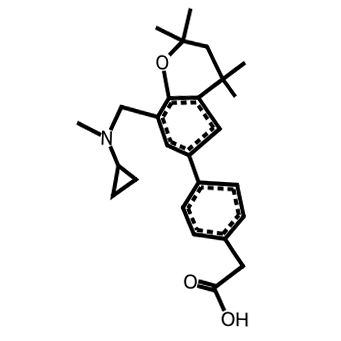 CN(Cc1cc(-c2ccc(CC(=O)O)cc2)cc2c1OC(C)(C)CC2(C)C)C1CC1